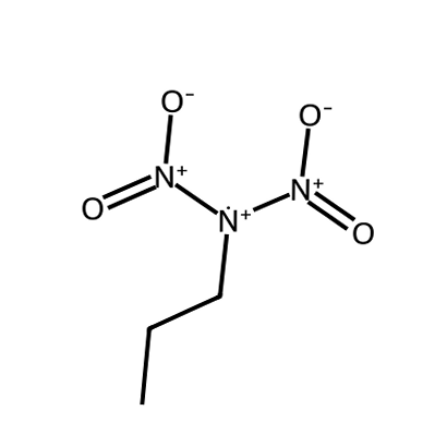 CCC[N+]([N+](=O)[O-])[N+](=O)[O-]